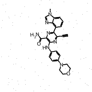 C#Cc1nc(Nc2ccc(N3CCOCC3)cc2)c(C(N)=O)nc1-c1cccc2c1ncn2C